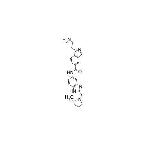 C[C@H]1CCCN1Cc1nc2cc(NC(=O)c3ccc4c(cnn4CCN)c3)ccc2[nH]1